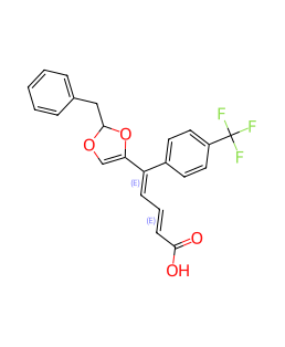 O=C(O)/C=C/C=C(/C1=COC(Cc2ccccc2)O1)c1ccc(C(F)(F)F)cc1